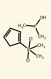 CP(C)O.[CH3][Ir]([CH3])([Cl])([Cl])[C]1=CC=CC1